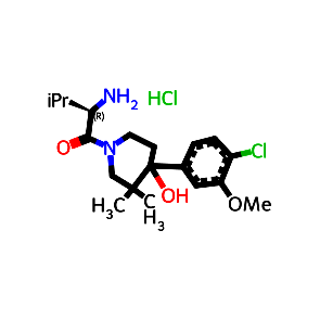 COc1cc(C2(O)CCN(C(=O)[C@H](N)C(C)C)CC2(C)C)ccc1Cl.Cl